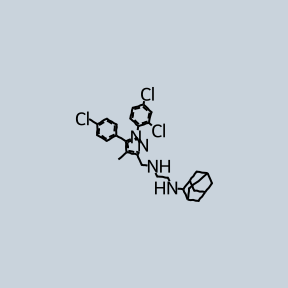 Cc1c(CNCCNC2C3CC4CC(C3)CC2C4)nn(-c2ccc(Cl)cc2Cl)c1-c1ccc(Cl)cc1